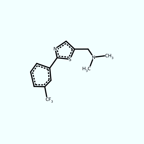 CN(C)Cc1cnc(-c2cccc(C(F)(F)F)c2)s1